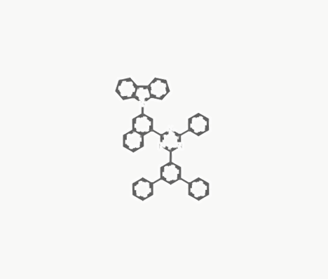 c1ccc(-c2cc(-c3ccccc3)cc(-c3nc(-c4ccccc4)nc(-c4cc(-n5c6ccccc6c6ccccc65)cc5ccccc45)n3)c2)cc1